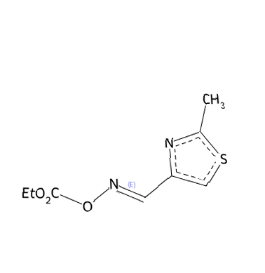 CCOC(=O)O/N=C/c1csc(C)n1